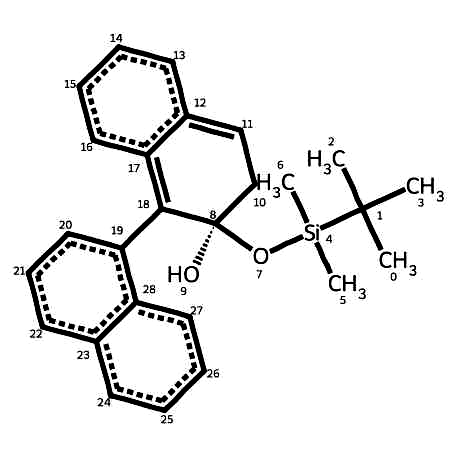 CC(C)(C)[Si](C)(C)O[C@]1(O)CC=c2ccccc2=C1c1cccc2ccccc12